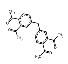 CC(=O)c1ccc(Cc2ccc(C(C)=O)c(C(C)=O)c2)cc1C(C)=O